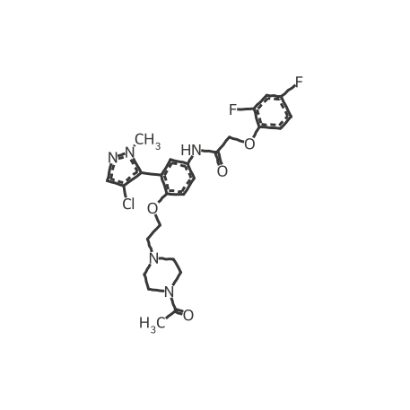 CC(=O)N1CCN(CCOc2ccc(NC(=O)COc3ccc(F)cc3F)cc2-c2c(Cl)cnn2C)CC1